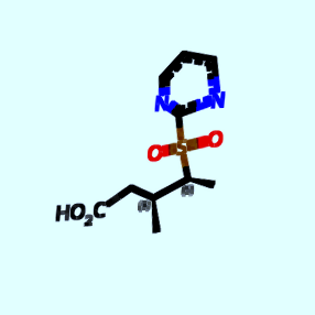 C[C@@H](CC(=O)O)[C@H](C)S(=O)(=O)c1ncccn1